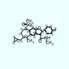 CNC(=O)c1c(-c2ccc(F)cc2)oc2cc3c(cc12)C(C)N(CC1CC1)CCN3S(C)(=O)=O